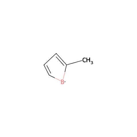 CC1=CC=C[B]1